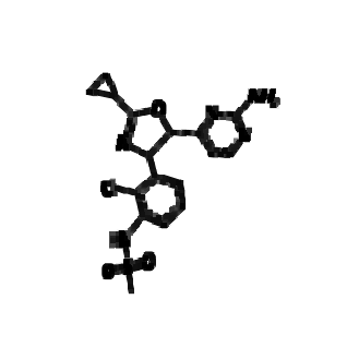 CS(=O)(=O)Nc1cccc(C2N=C(C3CC3)OC2c2ccnc(N)n2)c1Cl